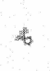 CNCC(=O)N(C)CC(=O)N(C)CC(=O)N(C)CC(=O)N(C)CC(=O)NCCN(C[C@@H](O)[C@H](O)[C@@H](O)[C@@H](O)CO)C[C@@H](O)[C@H](O)[C@@H](O)[C@@H](O)CO